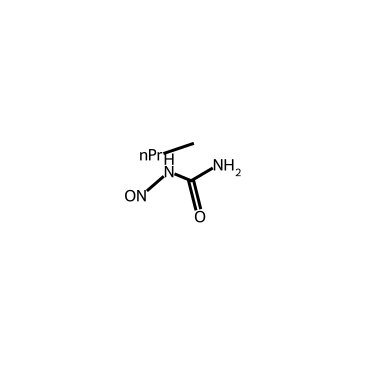 CCCC.NC(=O)NN=O